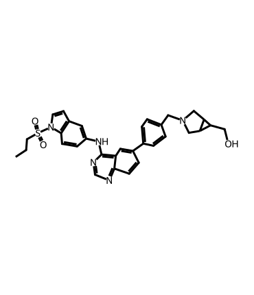 CCCS(=O)(=O)n1ccc2cc(Nc3ncnc4ccc(-c5ccc(CN6CC7C(CO)C7C6)cc5)cc34)ccc21